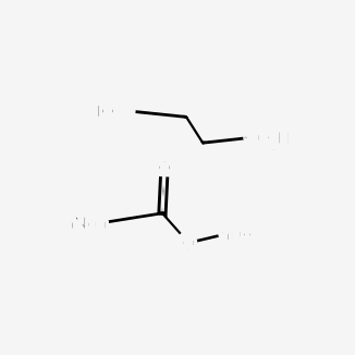 CCCCCCCCCCOC(=O)CCCCCCCCC.O=C(O)CCC(=O)O